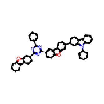 c1ccc(-c2nc(-c3ccc4c(c3)oc3ccccc34)nc(-c3ccc4oc5cc(-c6ccc7c8ccccc8n(-c8ccccc8)c7c6)ccc5c4c3)n2)cc1